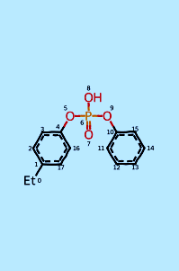 CCc1ccc(OP(=O)(O)Oc2ccccc2)cc1